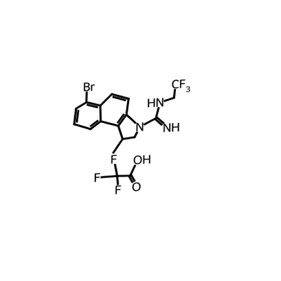 CC1CN(C(=N)NCC(F)(F)F)c2ccc3c(Br)cccc3c21.O=C(O)C(F)(F)F